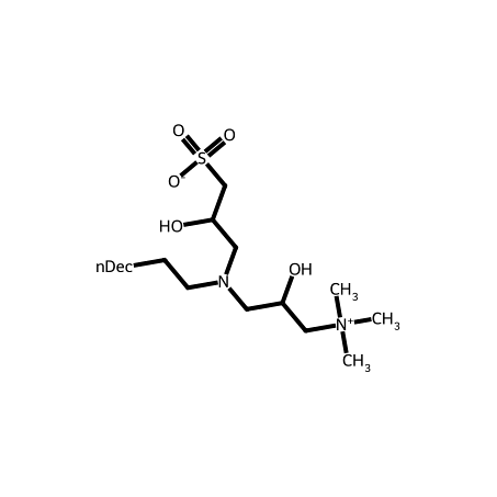 CCCCCCCCCCCCN(CC(O)C[N+](C)(C)C)CC(O)CS(=O)(=O)[O-]